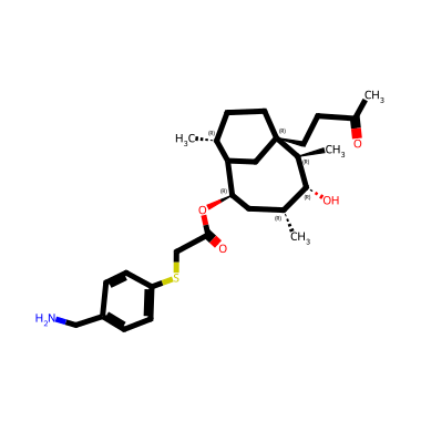 CC(=O)CC[C@]12CC[C@@H](C)C(C1)[C@H](OC(=O)CSc1ccc(CN)cc1)C[C@@H](C)[C@@H](O)[C@@H]2C